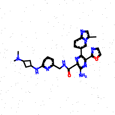 Cc1cnc2ccc(-c3nc(C(=O)NCc4cccc(NC5CC(N(C)C)C5)n4)c(N)nc3-c3ncco3)cn12